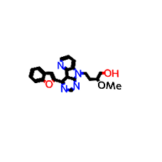 COC(CO)CCN1c2cccnc2C2C(c3cc4ccccc4o3)=NC=NC21